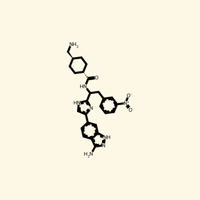 NC[C@H]1CC[C@H](C(=O)NC(Cc2cccc([N+](=O)[O-])c2)c2nc(-c3ccc4c(N)n[nH]c4c3)c[nH]2)CC1